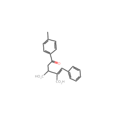 Cc1ccc(C(=O)CC(C(=O)O)C(=Cc2ccccc2)C(=O)O)cc1